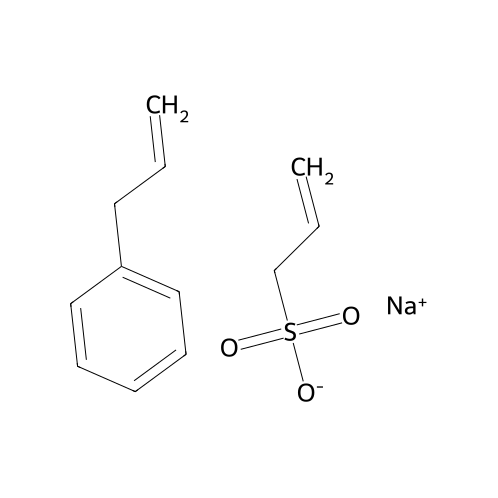 C=CCS(=O)(=O)[O-].C=CCc1ccccc1.[Na+]